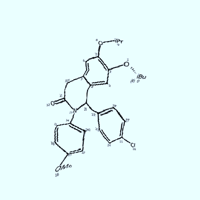 CC[C@@H](C)Oc1cc2c(cc1OC(C)C)CC(=O)N(c1ccc(OC)cc1)C2c1ccc(Cl)cc1